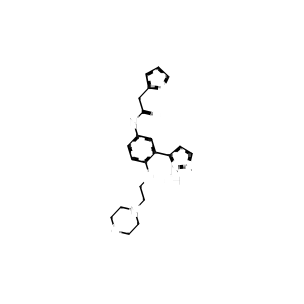 Cn1nccc1-c1cc(NC(=O)Cc2cccs2)ccc1OCCN1CCOCC1